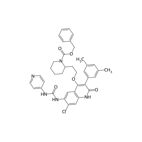 Cc1cc(C)cc(-c2c(OCCC3CCCCN3C(=O)OCc3ccccc3)c3cc(NC(=O)Nc4ccncc4)c(Cl)cc3[nH]c2=O)c1